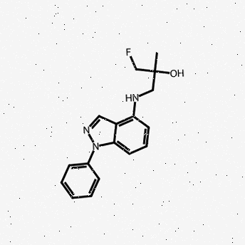 CC(O)(CF)CNc1cccc2c1cnn2-c1ccccc1